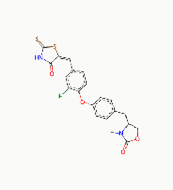 CN1C(=O)OCC1Cc1ccc(Oc2ccc(/C=C3/SC(=S)NC3=O)cc2F)cc1